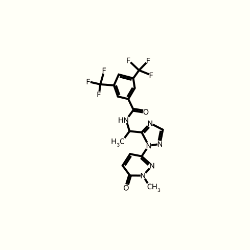 CC(NC(=O)c1cc(C(F)(F)F)cc(C(F)(F)F)c1)c1ncnn1-c1ccc(=O)n(C)n1